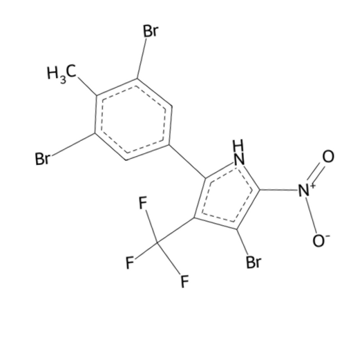 Cc1c(Br)cc(-c2[nH]c([N+](=O)[O-])c(Br)c2C(F)(F)F)cc1Br